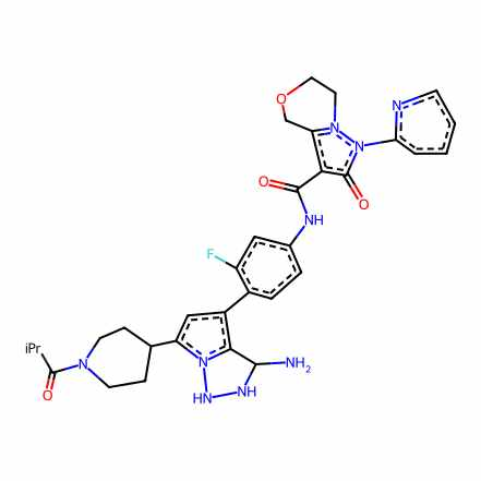 CC(C)C(=O)N1CCC(c2cc(-c3ccc(NC(=O)c4c5n(n(-c6ccccn6)c4=O)CCOC5)cc3F)c3n2NNC3N)CC1